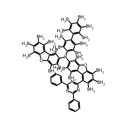 Bc1c(B)c(B)c(-c2c(B)c(B)c(N(c3c(B)c(B)c4c(oc5c(B)c(B)c(B)c(-c6nc(-c7ccccc7)nc(-c7ccccc7)n6)c54)c3B)c3c(B)c(B)c4oc5c(B)c(B)c(B)c(B)c5c4c3B)c(B)c2B)c(B)c1B